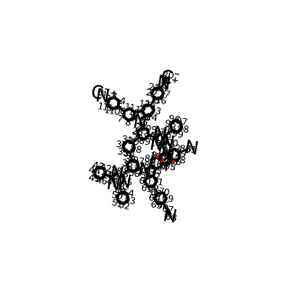 [C-]#[N+]c1ccc(-c2ccc3c(c2)c2cc(-c4ccc([N+]#[C-])cc4)ccc2n3-c2cc(-c3cccc(-c4cc(-c5nc(-c6ccccc6)nc(-c6ccccc6)n5)cc(-n5c6ccc(-c7ccc(C#N)cc7)cc6c6cc(-c7ccc(C#N)cc7)ccc65)c4)c3)cc(-c3nc(-c4ccccc4)nc(-c4ccccc4)n3)c2)cc1